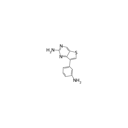 Nc1cccc(-c2csc3cnc(N)nc23)c1